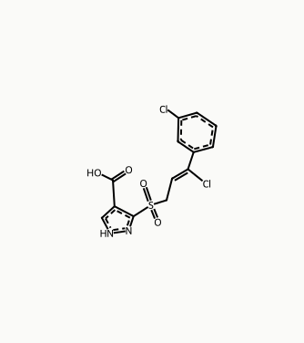 O=C(O)c1c[nH]nc1S(=O)(=O)CC=C(Cl)c1cccc(Cl)c1